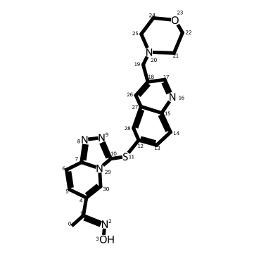 CC(=NO)c1ccc2nnc(Sc3ccc4ncc(CN5CCOCC5)cc4c3)n2c1